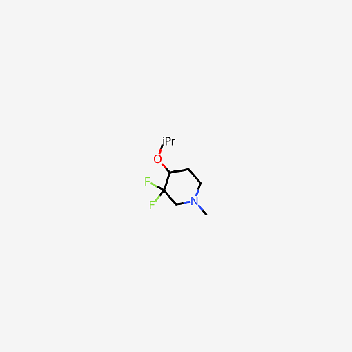 CC(C)OC1CCN(C)CC1(F)F